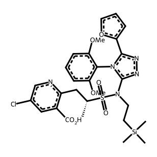 COc1cccc(OC)c1-n1c(-c2ccco2)nnc1N(CC[Si](C)(C)C)S(=O)(=O)[C@H](C)Cc1ncc(Cl)cc1C(=O)O